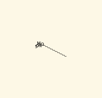 CCCCCCCCCCCCCCCCCCCCOc1nc2cscc2nc1C